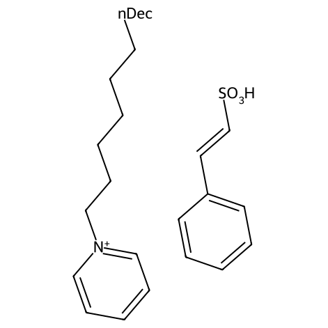 CCCCCCCCCCCCCCCC[n+]1ccccc1.O=S(=O)(O)C=Cc1ccccc1